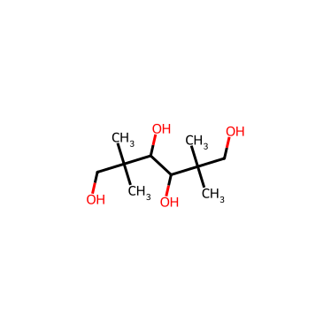 CC(C)(CO)C(O)C(O)C(C)(C)CO